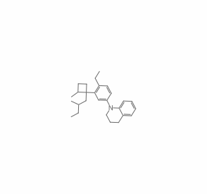 CCc1ccc(N2CCCc3ccccc32)cc1C1(CC(C)CC)CCC1C